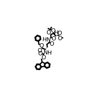 COC(=O)[C@H]1O[C@@H](NC(=O)CC[C@H](NC(=O)OCC2c3ccccc3-c3ccccc32)C(=O)OCc2ccccc2)C2OC(C)(C)O[C@@H]21